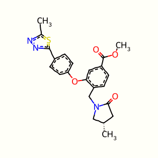 COC(=O)c1ccc(CN2C[C@@H](C)CC2=O)c(Oc2ccc(-c3nnc(C)s3)cc2)c1